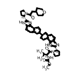 COC(=O)N[C@H](C(=O)N1CCC[C@H]1c1nc2ccc3cc(-c4ccc5c(ccc6[nH]c([C@@H]7CCCN7C(=O)CC7CCOCC7)nc65)c4)ccc3c2[nH]1)C(C)C